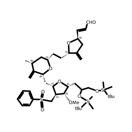 C=C1C[C@H](C=CC=O)O[C@H]1CC[C@H]1C[C@@H](C)C(=C)[C@@H](C[C@@H]2O[C@H](CC(CO[Si](C)(C)C(C)(C)C)O[Si](C)(C)C(C)(C)C)[C@H](OC)[C@H]2CS(=O)(=O)c2ccccc2)O1